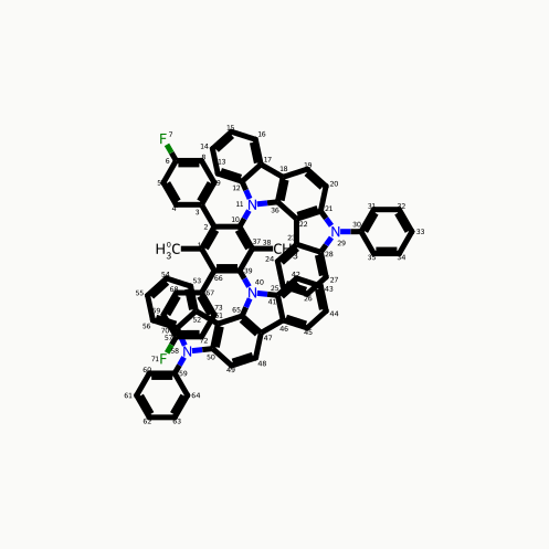 Cc1c(-c2ccc(F)cc2)c(-n2c3ccccc3c3ccc4c(c5ccccc5n4-c4ccccc4)c32)c(C)c(-n2c3ccccc3c3ccc4c(c5ccccc5n4-c4ccccc4)c32)c1-c1ccc(F)cc1